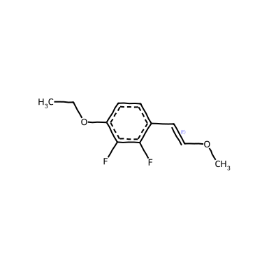 CCOc1ccc(/C=C/OC)c(F)c1F